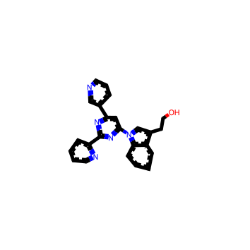 OCCc1cn(-c2cc(-c3cccnc3)nc(-c3ccccn3)n2)c2ccccc12